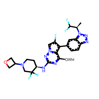 COc1nc(N[C@@H]2CCN(C3COC3)CC2(F)F)nn2cc(F)c(-c3ccc4nnn([C@H](C)C(F)F)c4c3)c12